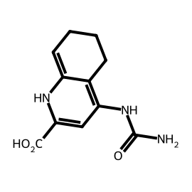 NC(=O)NC1=C2CCCC=C2NC(C(=O)O)=C1